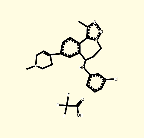 Cc1nnn2c1-c1ccc(C3=CCN(C)CC3)cc1C(Nc1cccc(Cl)c1)CC2.O=C(O)C(F)(F)F